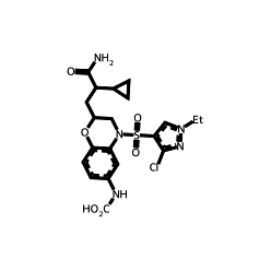 CCn1cc(S(=O)(=O)N2CC(CC(C(N)=O)C3CC3)Oc3ccc(NC(=O)O)cc32)c(Cl)n1